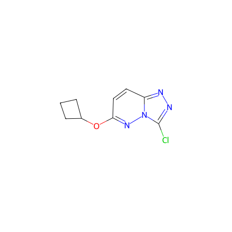 Clc1nnc2ccc(OC3CCC3)nn12